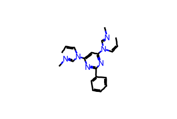 C/C=C\N(/C=N/C)c1cc(N(/C=C\C)/C=N/C)nc(-c2ccccc2)n1